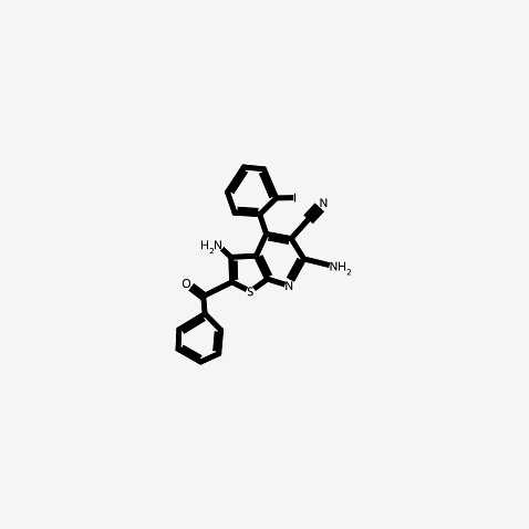 N#Cc1c(N)nc2sc(C(=O)c3ccccc3)c(N)c2c1-c1ccccc1I